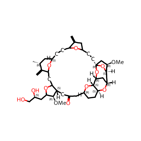 C=C1CC2CC[C@]34C[C@@H](OC)[C@H](O3)[C@H]3C[C@@H](O4)[C@H]4O[C@H](CC[C@@H]4O3)CC(=O)C[C@H]3C(CC4O[C@@H](CCC1O2)C[C@@H](C)C4=C)OC(C[C@H](O)CO)[C@@H]3OC